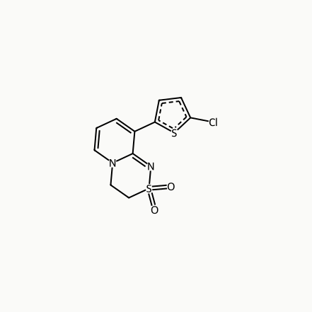 O=S1(=O)CCN2C=CC=C(c3ccc(Cl)s3)C2=N1